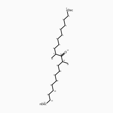 CCCCCCCCCCCCCCCCCCC(C)C(=O)C(C)CCCCCCCCCCCCCCCCCC